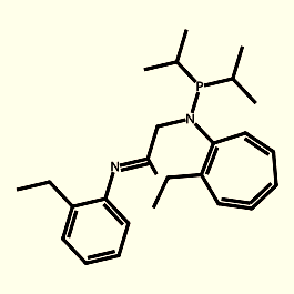 CCC1=C(N(C/C(C)=N/c2ccccc2CC)P(C(C)C)C(C)C)C=CC=C=C1